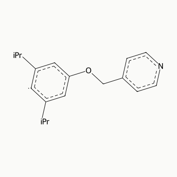 CC(C)c1[c]c(C(C)C)cc(OCc2ccncc2)c1